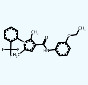 CCOc1cccc(NC(=O)c2cc(C)n(-c3ccccc3C(F)(F)F)c2C)c1